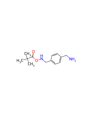 CC(C)(C)C(=O)ONCc1ccc(CN)cc1